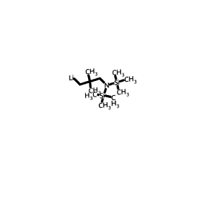 [Li][CH2]C(C)(C)CN([Si](C)(C)C)[Si](C)(C)C